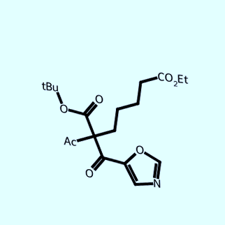 CCOC(=O)CCCCC(C(C)=O)(C(=O)OC(C)(C)C)C(=O)c1cnco1